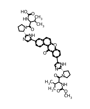 COC(=O)NC(C(=O)N1CCC[C@H]1c1ncc(-c2ccc3oc4ccc5cc(-c6cnc([C@@H]7CCCN7C(=O)C(NC(=O)O)C(C)C)[nH]6)ccc5c4c(=O)c3c2)[nH]1)C(C)C